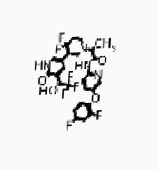 CC(C(=O)Nc1ccc(Oc2ccc(F)cc2F)cn1)N1CCC(F)(F)C(c2c[nH]c(=O)c(C(O)C(F)(F)F)c2)C1